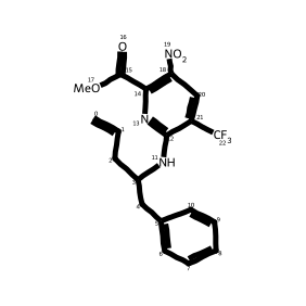 C=CCC(Cc1ccccc1)Nc1nc(C(=O)OC)c([N+](=O)[O-])cc1C(F)(F)F